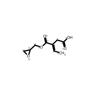 CC=C(CC(=O)O)C(=O)OCC1CO1